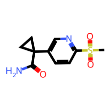 CS(=O)(=O)c1ccc(C2(C(N)=O)CC2)cn1